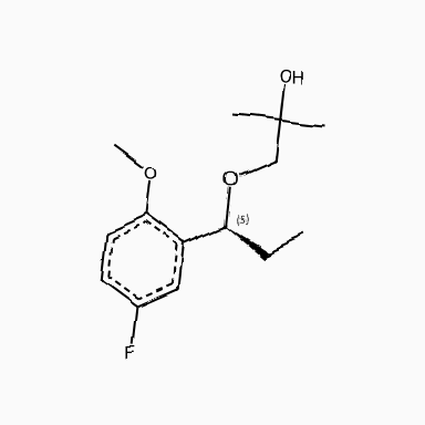 CC[C@H](OCC(C)(C)O)c1cc(F)ccc1OC